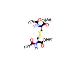 CCCC(=O)N[C@@H](CSSC[C@H](NC(=O)CCC)C(=O)OC)C(=O)OC